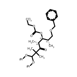 CC(C)OC(OC(C)C)C(C)(C)C(=O)[C@H](C)[C@@H](OC(=O)OCC(Cl)(Cl)Cl)[C@@H](C)COCc1ccccc1